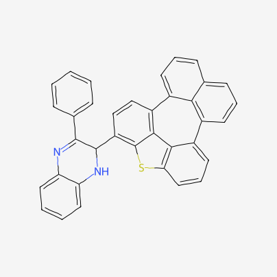 c1ccc(C2=Nc3ccccc3NC2c2ccc3c4c2sc2cccc(c24)-c2cccc4cccc-3c24)cc1